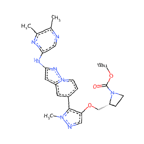 Cc1ncc(Nc2cc3cc(-c4c(OC[C@H]5CCN5C(=O)OC(C)(C)C)cnn4C)ccn3n2)nc1C